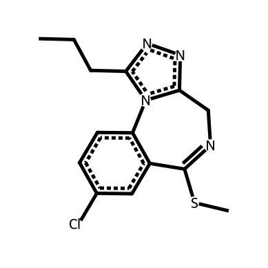 CCCc1nnc2n1-c1ccc(Cl)cc1C(SC)=NC2